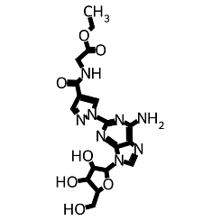 CCOC(=O)CNC(=O)c1cnn(-c2nc(N)c3ncn(C4OC(CO)C(O)C4O)c3n2)c1